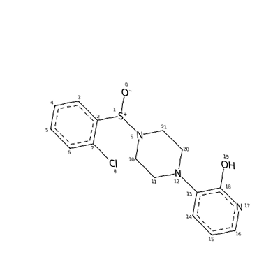 [O-][S+](c1ccccc1Cl)N1CCN(c2cccnc2O)CC1